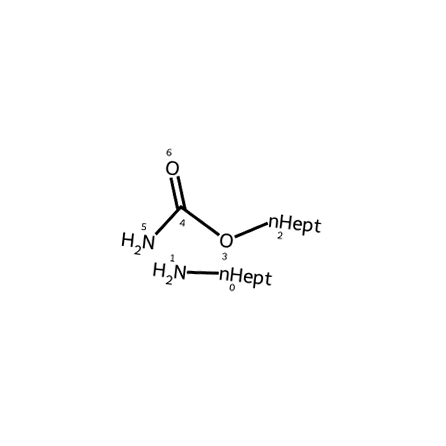 CCCCCCCN.CCCCCCCOC(N)=O